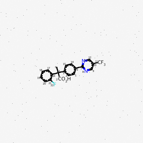 CC(C(=O)O)(c1ccc(-c2ncc(C(F)(F)F)cn2)cc1)c1ccccc1F